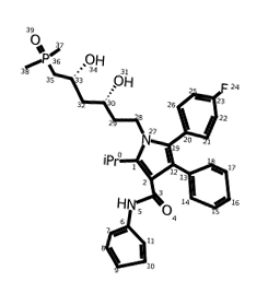 CC(C)c1c(C(=O)Nc2ccccc2)c(-c2ccccc2)c(-c2ccc(F)cc2)n1CC[C@@H](O)C[C@@H](O)CP(C)(C)=O